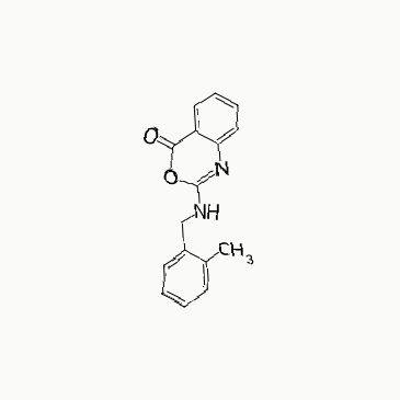 Cc1ccccc1CNc1nc2ccccc2c(=O)o1